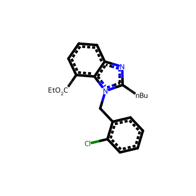 CCCCc1nc2cccc(C(=O)OCC)c2n1Cc1ccccc1Cl